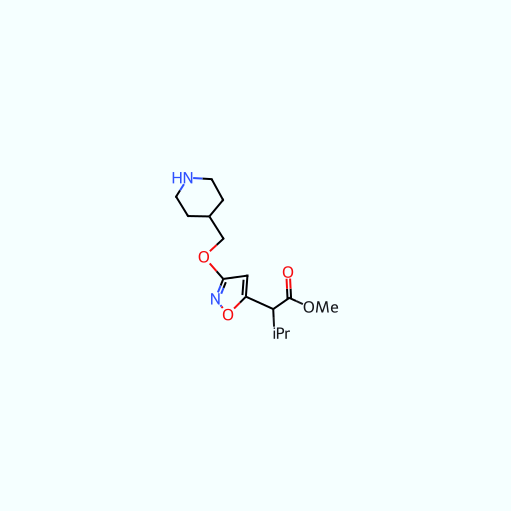 COC(=O)C(c1cc(OCC2CCNCC2)no1)C(C)C